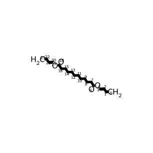 C=CC=COC(=O)CCCCCCCCCCC(=O)OC=CC=C